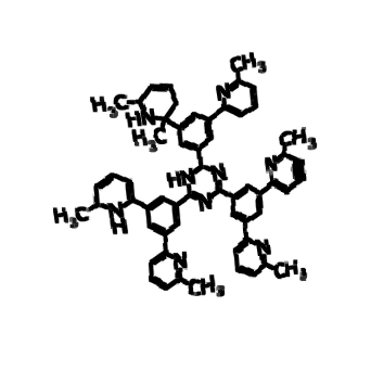 Cc1c#ccc(-c2cc(C3=NC(c4cc(-c5cccc(C)n5)cc(C5(C)CC=CC(C)N5)c4)NC(c4cc(C5=CC=CC(C)N5)cc(-c5cccc(C)n5)c4)=N3)cc(-c3cccc(C)n3)c2)n1